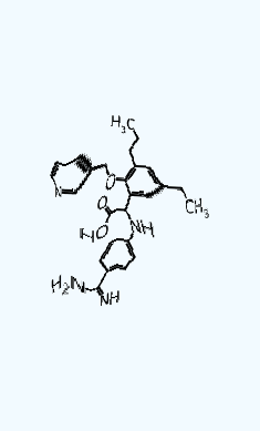 CCCc1cc(CC)cc(C(Nc2ccc(C(=N)N)cc2)C(=O)O)c1OCc1cccnc1